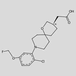 O=C(O)C[C@H]1CCC2(CCN(c3cc(OCF)ccc3Cl)CC2)OC1